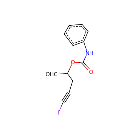 O=CC(CC#CI)OC(=O)Nc1ccccc1